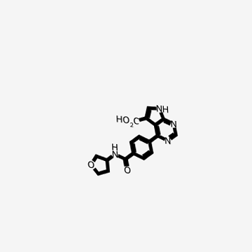 O=C(NC1CCOC1)c1ccc(-c2ncnc3[nH]cc(C(=O)O)c23)cc1